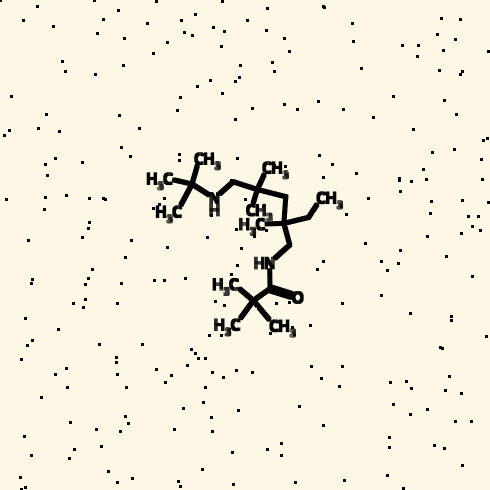 CCC(C)(CNC(=O)C(C)(C)C)CC(C)(C)CNC(C)(C)C